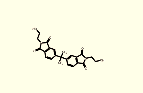 O=C1c2ccc(C(c3ccc4c(c3)C(=O)N(CCO)C4=O)(C(F)(F)F)C(F)(F)F)cc2C(=O)N1CCO